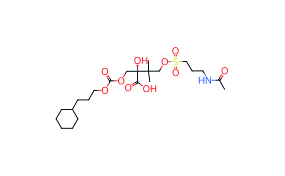 CC(=O)NCCCS(=O)(=O)OCC(C)(C)[C@@](O)(COC(=O)OCCCC1CCCCC1)C(=O)O